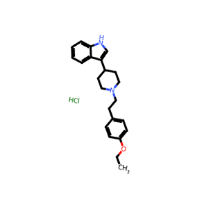 CCOc1ccc(CCN2CCC(c3c[nH]c4ccccc34)CC2)cc1.Cl